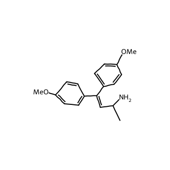 COc1ccc(C(=CC(C)N)c2ccc(OC)cc2)cc1